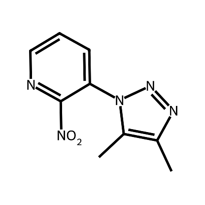 Cc1nnn(-c2cccnc2[N+](=O)[O-])c1C